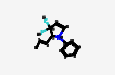 CC=CC1N(c2ccccc2)C=CC1(F)F